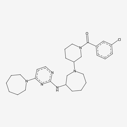 O=C(c1cccc(Cl)c1)N1CCCC(N2CCCCC(Nc3nccc(N4CCCCCC4)n3)C2)C1